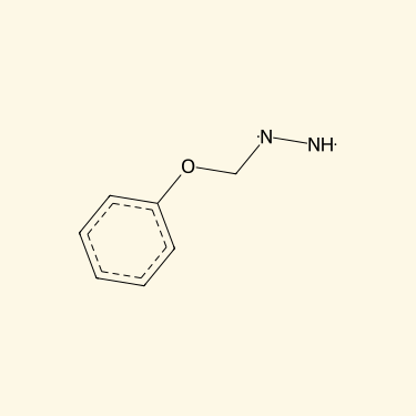 [NH][N]COc1ccccc1